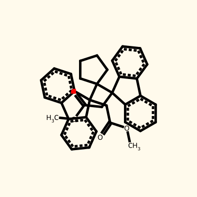 COC(=O)CC1(C2(C3(CC(=O)OC)c4ccccc4-c4ccccc43)CCCC2)c2ccccc2-c2ccccc21